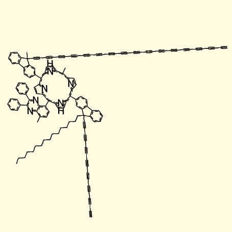 C#CC#CC#CC#CC#CC#CC#CC#CC#CC#CC#CC#CC#CC#CC#CC#CC1(C)c2ccccc2-c2ccc(-c3c4nc(c(-c5ccc(C)c6nc(-c7ccccc7)c(-c7ccccc7)nc56)c5ccc([nH]5)c(-c5ccc6c(c5)C(C#CC#CC#CC#CC#CC#CC#CC#C)(CCCCCCCCCCCCCCCC)c5ccccc5-6)c5nc(c(C)c6ccc3[nH]6)C=C5)C=C4)cc21